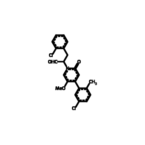 COc1cn(C(C=O)Cc2ccccc2Cl)c(=O)cc1-c1cc(Cl)ccc1C